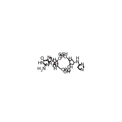 C[C@H]1[C@H]2OP(=O)(S)OC[C@H]3C[C@@H](Nc4ccncn4)C[C@@H]3OP(=O)(O)OC[C@H]1O[C@H]2n1cnc2c(=O)[nH]c(N)nc21